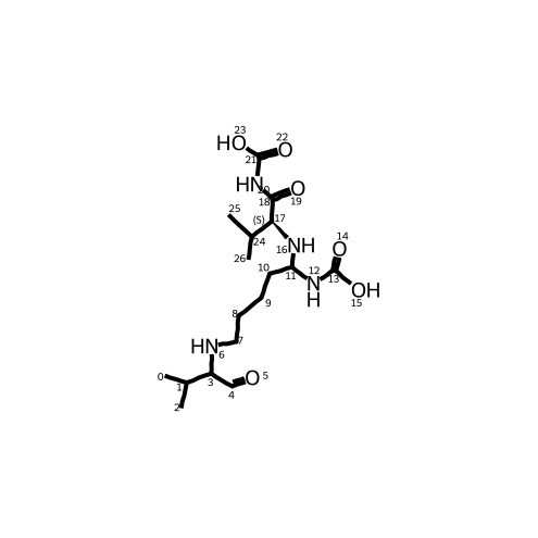 CC(C)C(C=O)NCCCCC(NC(=O)O)N[C@H](C(=O)NC(=O)O)C(C)C